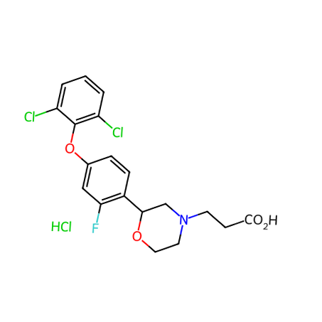 Cl.O=C(O)CCN1CCOC(c2ccc(Oc3c(Cl)cccc3Cl)cc2F)C1